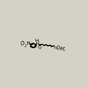 CCCCCCCCCCCCCCCCCC(=O)Nc1cccc([N+](=O)[O-])c1